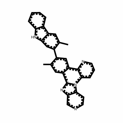 Cc1cc2c(cc1-c1cc3c(cc1C)c1nc4cnccc4n1c1cccnc31)[nH]c1ccccc12